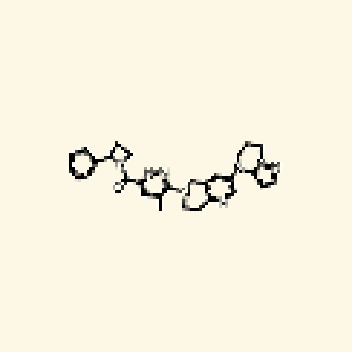 Cc1cc(C(=O)N2CCC2c2ccccc2)nnc1N1CCc2ncc(N3CCCn4nccc43)cc2C1